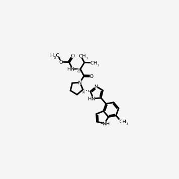 COC(=O)N[C@H](C(=O)N1CCC[C@H]1c1ncc(-c2ccc(C)c3[nH]ccc23)[nH]1)C(C)C